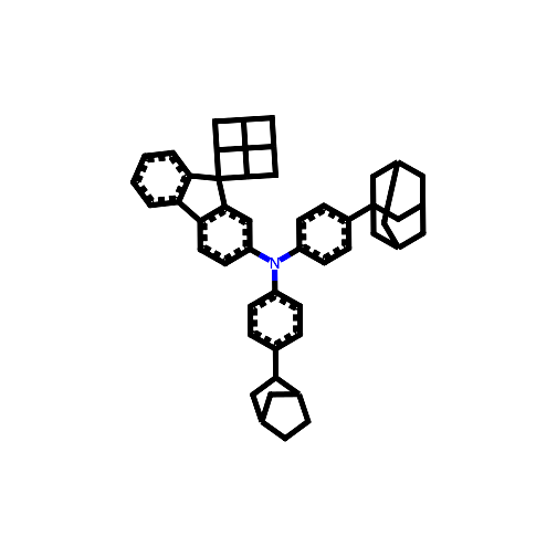 c1ccc2c(c1)-c1ccc(N(c3ccc(C4CC5CCC4C5)cc3)c3ccc(C45CC6CC(CC(C6)C4)C5)cc3)cc1C21C2CC3CC4CC1C342